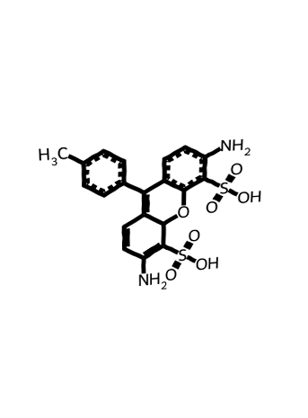 Cc1ccc(C2=C3C=CC(N)=C(S(=O)(=O)O)C3Oc3c2ccc(N)c3S(=O)(=O)O)cc1